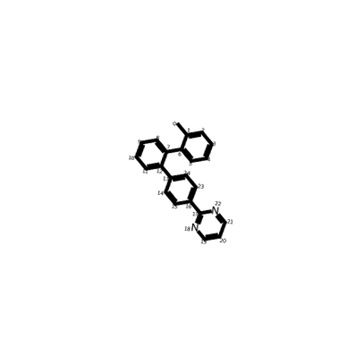 Cc1ccccc1-c1ccccc1-c1ccc(-c2ncccn2)cc1